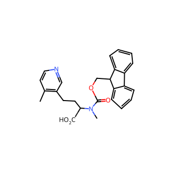 Cc1ccncc1CCC(C(=O)O)N(C)C(=O)OCC1c2ccccc2-c2ccccc21